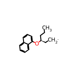 [CH2]C[C@H](CCC)Oc1cccc2ccccc12